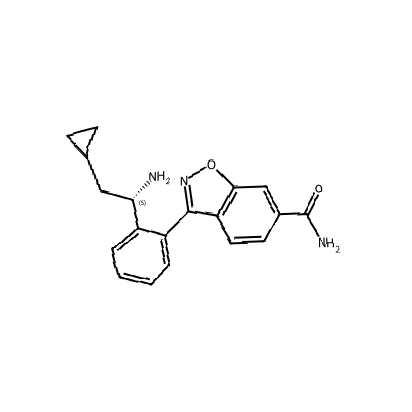 NC(=O)c1ccc2c(-c3ccccc3[C@@H](N)CC3CC3)noc2c1